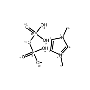 Cn1cc[n+](C)c1.O=P(O)(O)OP(=O)(O)O